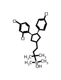 CC(C)(CCC1C[C@H](c2ccc(Cl)cc2)[C@H](c2ccc(Cl)cc2Cl)C1)[Si](C)(C)O